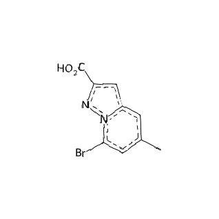 Cc1cc(Br)n2nc(C(=O)O)cc2c1